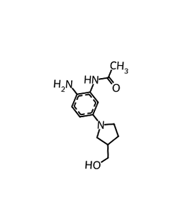 CC(=O)Nc1cc(N2CCC(CO)C2)ccc1N